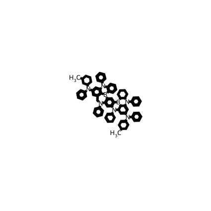 CC1CC=C(N(C2=CC3C4B(c5cc6c(cc5N3C3=CC=CCC3)N(c3ccccc3)Cc3cc(N(c5ccccc5)C5CCCC(C)C5)cc5c3B6c3ccccc3N5c3ccccc3)C3CCCCC3N(c3ccccc3)C4=C2)c2ccccc2)CC1